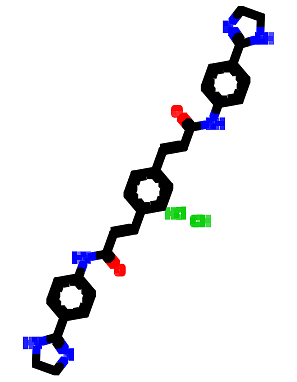 Cl.Cl.O=C(C=Cc1ccc(C=CC(=O)Nc2ccc(C3=NCCN3)cc2)cc1)Nc1ccc(C2=NCCN2)cc1